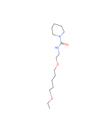 CCOCCCCCOCCNC(=O)N1CCCCC1